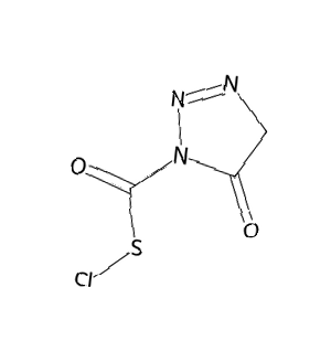 O=C1CN=NN1C(=O)SCl